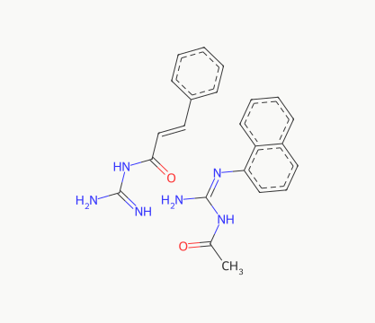 CC(=O)NC(N)=Nc1cccc2ccccc12.N=C(N)NC(=O)C=Cc1ccccc1